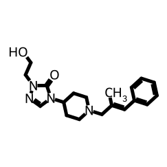 C/C(=C\c1ccccc1)CN1CCC(n2cnn(CCO)c2=O)CC1